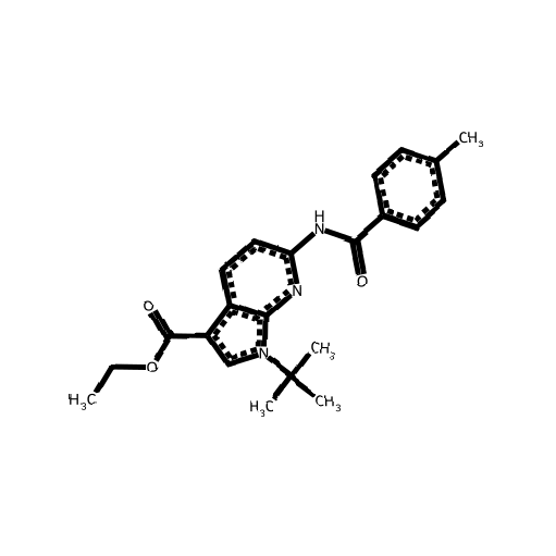 CCOC(=O)c1cn(C(C)(C)C)c2nc(NC(=O)c3ccc(C)cc3)ccc12